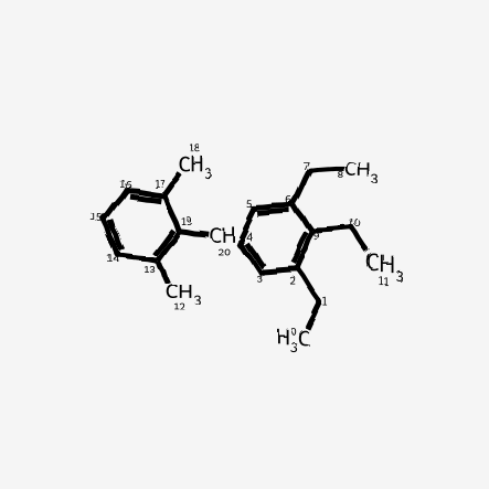 CCc1cccc(CC)c1CC.Cc1cccc(C)c1C